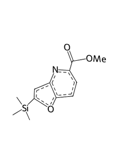 COC(=O)c1ccc2oc([Si](C)(C)C)cc2n1